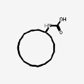 O=C(O)NC1CCCCCCCCCCCCCC1